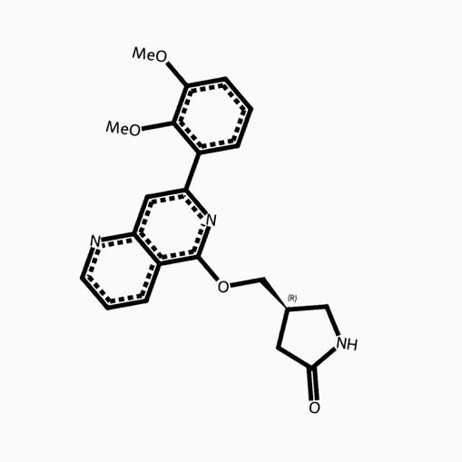 COc1cccc(-c2cc3ncccc3c(OC[C@H]3CNC(=O)C3)n2)c1OC